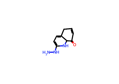 NNC1=CC=C2CC=CC(=O)C2N1